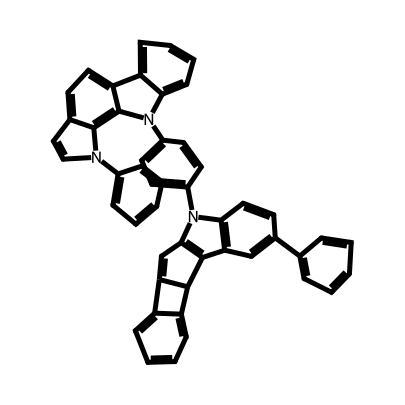 C1=C2c3ccccc3C2c2c1n(-c1ccc(-n3c4ccccc4c4ccc5ccn(-c6ccccc6)c5c43)cc1)c1ccc(-c3ccccc3)cc21